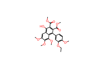 CCOc1cc(-c2c(C(=O)OC)c(C(=O)OC)c(O)c3cc(OC)c(OC)c(OC)c23)ccc1OC